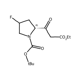 CCOC(=O)CC(=O)[C@H]1CC(F)CN1C(=O)OC(C)(C)C